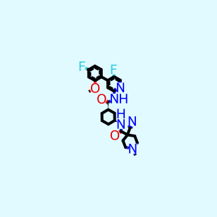 COc1cc(F)ccc1-c1cc(NC(=O)[C@H]2CCC[C@@H](NC(=O)C3(C#N)CCN(C)CC3)C2)ncc1F